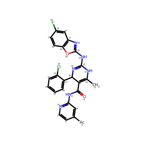 CC(=O)c1ccnc(NC(=O)C2=C(C)NC(Nc3nc4cc(F)ccc4o3)=NC2c2ccccc2Cl)c1